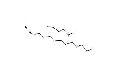 CCCCCCCCCCCN=C=O.CCCCCCl